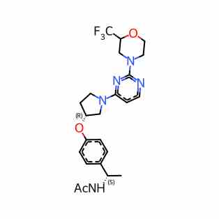 CC(=O)N[C@@H](C)c1ccc(O[C@@H]2CCN(c3ccnc(N4CCOC(C(F)(F)F)C4)n3)C2)cc1